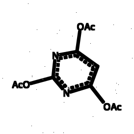 CC(=O)Oc1cc(OC(C)=O)nc(OC(C)=O)n1